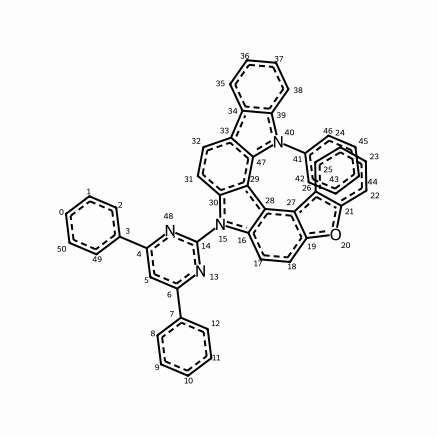 c1ccc(-c2cc(-c3ccccc3)nc(-n3c4ccc5oc6ccccc6c5c4c4c3ccc3c5ccccc5n(-c5ccccc5)c34)n2)cc1